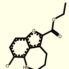 CCOC(=O)c1oc2ccc(Cl)c3c2c1CCCN3